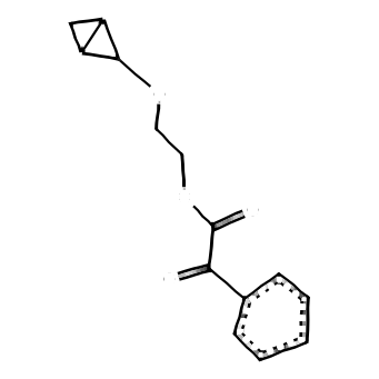 O=C(OCCOC1C2CC21)C(=O)c1ccccc1